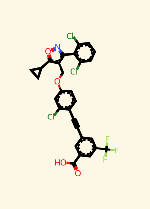 O=C(O)c1cc(C#Cc2ccc(OCc3c(-c4c(Cl)cccc4Cl)noc3C3CC3)cc2Cl)cc(C(F)(F)F)c1